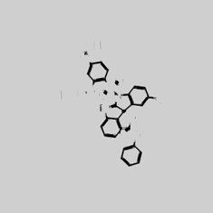 COc1ccc(S(=O)(=O)N2C(=O)C(OC(=O)Oc3ccccc3)(c3ccccc3F)c3cc(Cl)ccc32)c(OC)c1